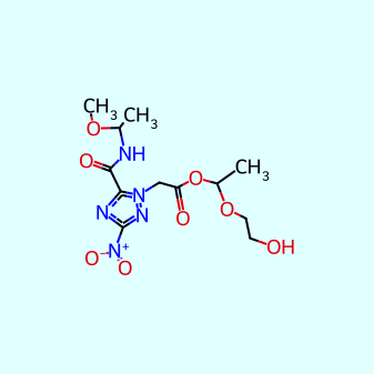 COC(C)NC(=O)c1nc([N+](=O)[O-])nn1CC(=O)OC(C)OCCO